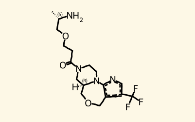 C[C@H](N)COCCC(=O)N1CCN2c3ncc(C(F)(F)F)cc3COC[C@H]2C1